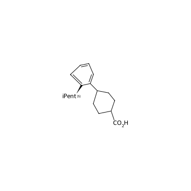 CCC[C@H](C)c1ccccc1C1CCC(C(=O)O)CC1